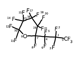 FC(F)(F)C(F)(F)C(F)(F)C1(F)OC(F)(F)C(F)(F)C(F)(F)C1(F)F